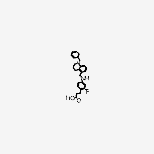 O=C(O)CCc1ccc(NCc2cccc3c2CCCN3Cc2ccccc2)cc1F